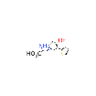 N[C@@H](Cc1ccc(O)c(-c2cccs2)c1)C(=O)O